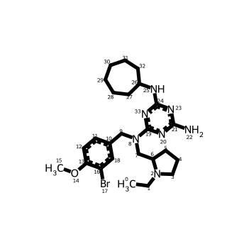 CCN1CCCC1CN(Cc1ccc(OC)c(Br)c1)c1nc(N)nc(NC2CCCCCC2)n1